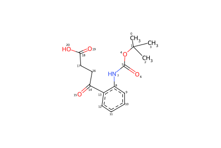 CC(C)(C)OC(=O)Nc1ccccc1C(=O)CCC(=O)O